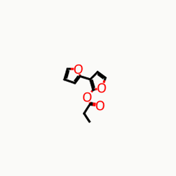 CCC(=O)Oc1occc1-c1ccco1